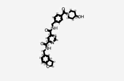 O=C(NCc1ccc(C(=O)N2CCC(O)CC2)cc1)c1cc(C(=O)NCc2ccc3c(c2)CCO3)ncn1